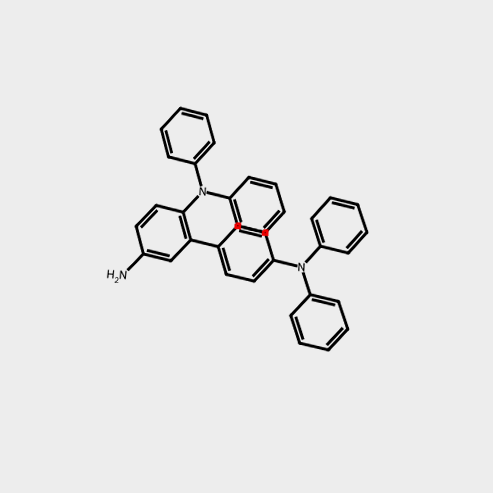 Nc1ccc(N(c2ccccc2)c2ccccc2)c(-c2ccc(N(c3ccccc3)c3ccccc3)cc2)c1